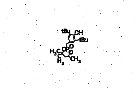 CC1CC(C)(C)OP(=O)(Cc2cc(C(C)(C)C)c(O)c(C(C)(C)C)c2)O1